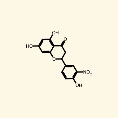 O=C1CC(c2ccc(O)c([N+](=O)[O-])c2)Oc2cc(O)cc(O)c21